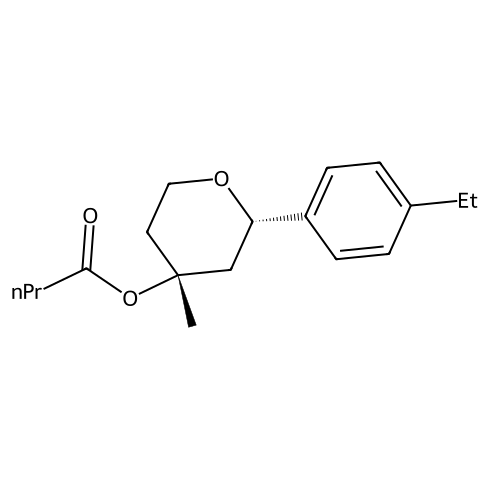 CCCC(=O)O[C@]1(C)CCO[C@H](c2ccc(CC)cc2)C1